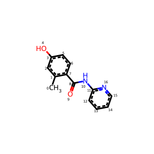 Cc1cc(O)ccc1C(=O)Nc1ccccn1